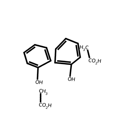 CC(=O)O.CC(=O)O.Oc1ccccc1.Oc1ccccc1